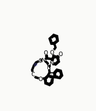 O=C1c2c(OCc3ccccc3)c(=O)ccn2N2CN1C/C=C\CCCOc1ccccc1[C@@H]2c1ccccc1